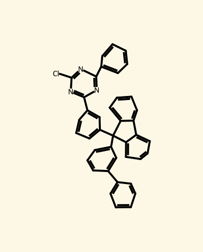 Clc1nc(-c2ccccc2)nc(-c2cccc(C3(c4cccc(-c5ccccc5)c4)c4ccccc4-c4ccccc43)c2)n1